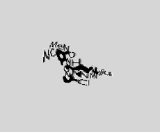 CNC(=O)c1cc(C#N)cc(C)c1NC(=O)c1cc(Cn2cc(C(C)(C)C)nn2)nn1-c1ncccc1Cl